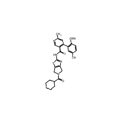 COc1ccc(C#N)cc1-c1cc(C)ncc1C(=O)Nc1nc2c(s1)CN(C(=O)C1CCCCC1)C2